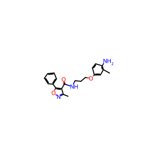 Cc1cc(OCCCNC(=O)c2c(C)noc2-c2ccccc2)ccc1N